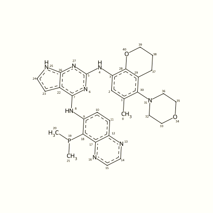 Cc1cc(Nc2nc(Nc3ccc4nccnc4c3P(C)C)c3cc[nH]c3n2)c2c(c1N1CCOCC1)CCCO2